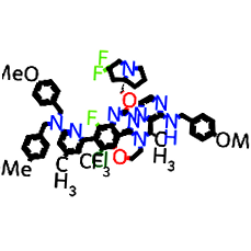 COc1ccc(CNc2nccnc2[C@@H](C)N2CCOc3c(Cl)c(-c4nc(N(Cc5ccc(OC)cc5)Cc5ccc(OC)cc5)cc(C)c4C(F)(F)F)c(F)c4nc(OC[C@@]56CCCN5CC(F)(F)C6)nc2c34)cc1